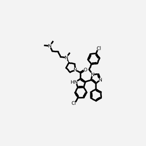 CN(C)CCCN(C)[C@@H]1CCN(C(=O)c2[nH]c3cc(Cl)ccc3c2-c2c(-c3ccccc3)ncn2Cc2ccc(Cl)cc2)C1